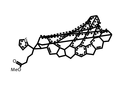 COC(=O)CCCC1(c2cccs2)C2C3=CC4CC5Cc6cc7c8c9c%10c%11c%12c%13c%14c(c%15c3c3c(c%16c(c6c8c%11%16)C5C=34)c%15%12)C21CC%14CC(C=C9C7)C%13%10